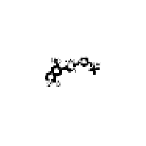 Cn1ccc2cc(O)c(-c3cnc(N4CC[C@@H](NC(C)(C)C)C4)nn3)cc2c1=O